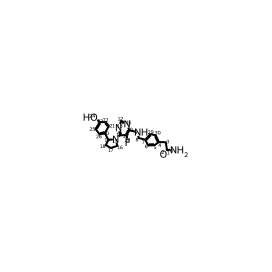 NC(=O)Cc1ccc(CNc2ncnc(N3CCCC3c3ccc(O)cc3)c2F)cc1